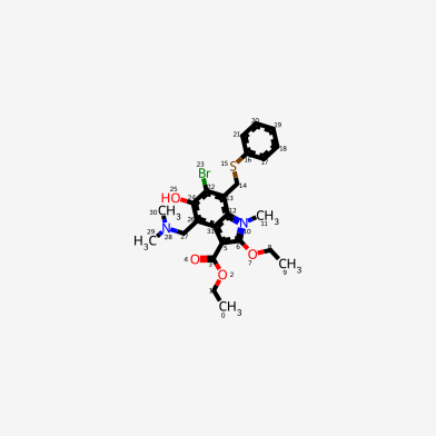 CCOC(=O)c1c(OCC)n(C)c2c(CSc3ccccc3)c(Br)c(O)c(CN(C)C)c12